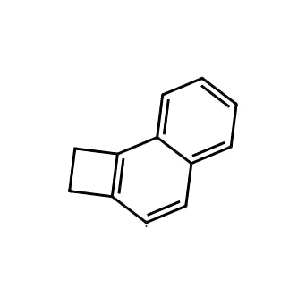 [c]1cc2ccccc2c2c1CC2